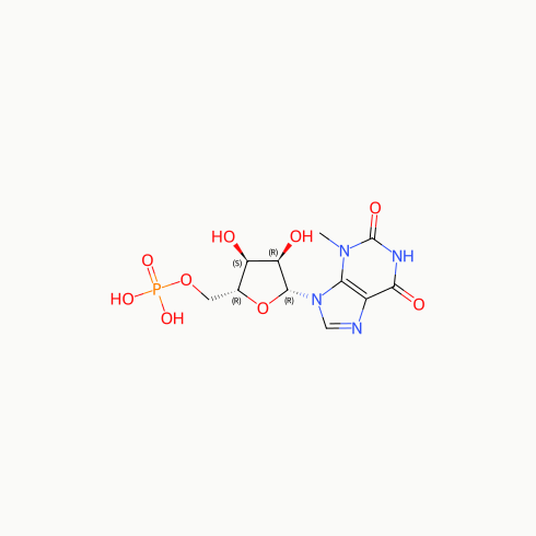 Cn1c(=O)[nH]c(=O)c2ncn([C@@H]3O[C@H](COP(=O)(O)O)[C@@H](O)[C@H]3O)c21